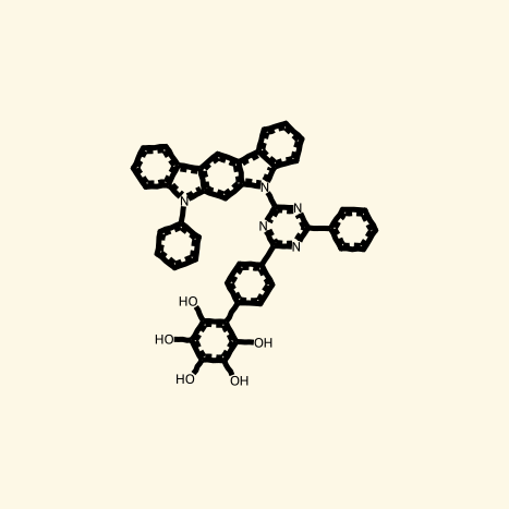 Oc1c(O)c(O)c(-c2ccc(-c3nc(-c4ccccc4)nc(-n4c5ccccc5c5cc6c7ccccc7n(-c7ccccc7)c6cc54)n3)cc2)c(O)c1O